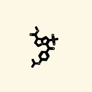 COC(=O)C1CCn2c1cc(S(C)(=O)=O)c2C(=O)c1ccc(OC(C)C)cc1